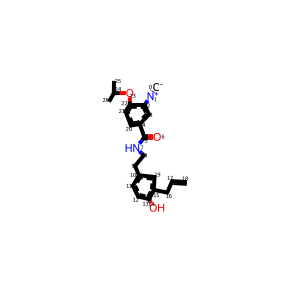 [C-]#[N+]c1cc(C(=O)NCCc2ccc(O)c(CC=C)c2)ccc1OC(C)C